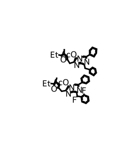 CCc1oc(Cc2nc3c(C(F)c4ccccc4F)nc(-c4ccccc4)cn3c2OC(C)=O)cc1C.CCc1oc(Cc2nc3c(Cc4ccccc4)nc(-c4ccccc4)cn3c2OC(C)=O)cc1C